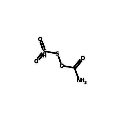 NC(=O)OS[SH](=O)=O